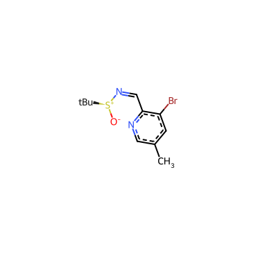 Cc1cnc(/C=N\[S@@+]([O-])C(C)(C)C)c(Br)c1